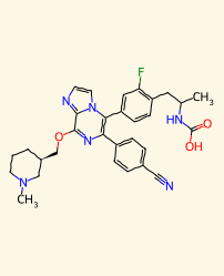 CC(Cc1ccc(-c2c(-c3ccc(C#N)cc3)nc(OC[C@@H]3CCCN(C)C3)c3nccn23)cc1F)NC(=O)O